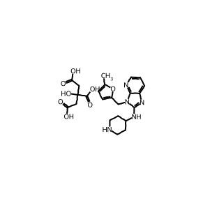 Cc1ccc(Cn2c(NC3CCNCC3)nc3cccnc32)o1.O=C(O)CC(O)(CC(=O)O)C(=O)O